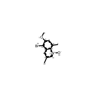 COc1cc(C)c2c(cc(C)c[n+]2[O-])c1Br